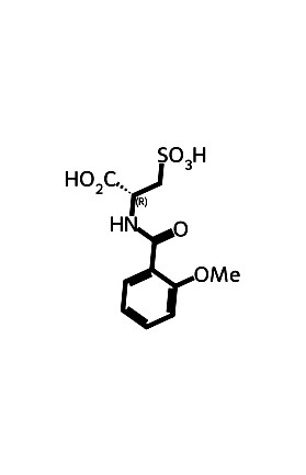 COc1ccccc1C(=O)N[C@@H](CS(=O)(=O)O)C(=O)O